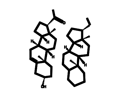 CC(=O)[C@H]1CC[C@H]2[C@@H]3CC=C4C[C@@H](O)CC[C@]4(C)[C@H]3CC[C@]12C.CC[C@H]1CC[C@H]2[C@@H]3CCC4CCCC[C@]4(C)[C@H]3CC[C@]12C